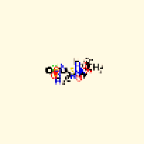 Cc1nc(NC(=O)C2(NC(=O)OC(C)(C)C)CC2)sc1-c1cnc(Cl)c(NS(=O)(=O)c2ccccc2)c1